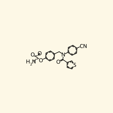 N#Cc1ccc(N(Cc2ccc(OS(N)(=O)=O)cc2)C(=O)c2ccsc2)cc1